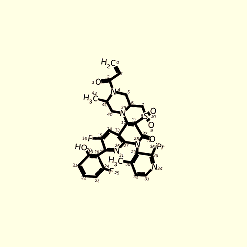 C=CC(=O)N1CC2CS(=O)(=O)c3c(c4cc(F)c(-c5c(O)cccc5F)nc4n(-c4c(C)ccnc4C(C)C)c3=O)N2CC1C